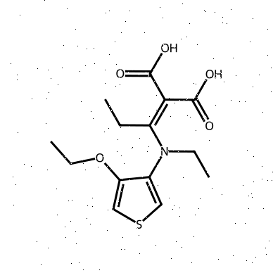 CCOc1cscc1N(CC)C(CC)=C(C(=O)O)C(=O)O